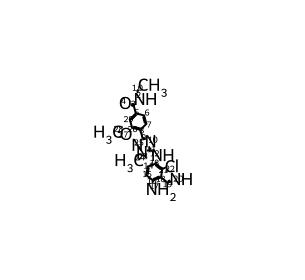 CCNC(=O)c1ccc(-c2nc(Nc3ccc(N)c(C=N)c3Cl)n(C)n2)c(OC)c1